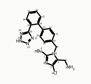 CCCCc1nc(Cl)c(CN)n1Cc1ccc(-c2ccccc2-c2nn[nH]n2)cc1